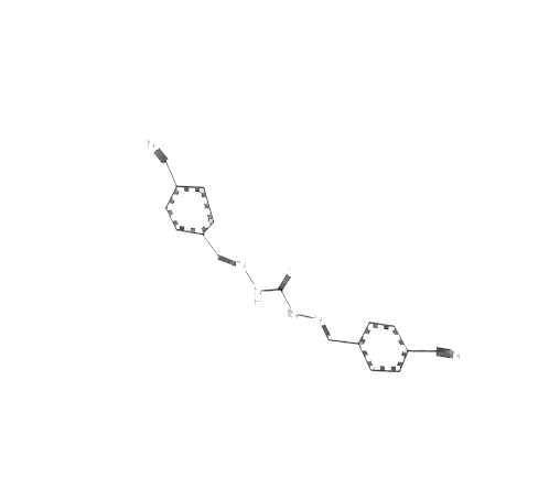 N#Cc1ccc(C=NNC(=O)NN=Cc2ccc(C#N)cc2)cc1